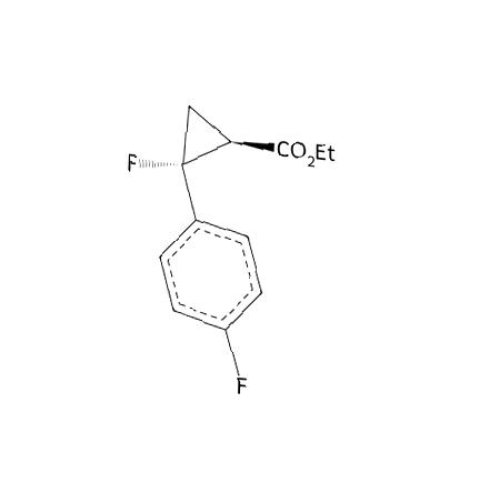 CCOC(=O)[C@@H]1C[C@]1(F)c1ccc(F)cc1